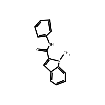 Cn1c(C(=O)Nc2[c]cccc2)cc2ccccc21